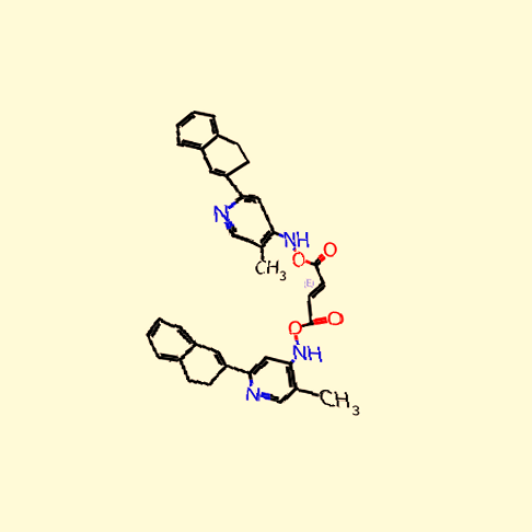 Cc1cnc(C2=Cc3ccccc3CC2)cc1NOC(=O)/C=C/C(=O)ONc1cc(C2=Cc3ccccc3CC2)ncc1C